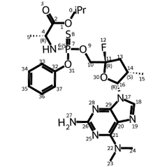 CC(C)OC(=O)[C@@H](C)N[P@](=S)(OC[C@]1(F)C[C@H](C)[C@H](n2cnc3c(N(C)C)nc(N)nc32)O1)Oc1ccccc1